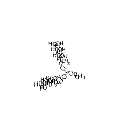 COc1ccc([S+](c2ccc(OC)cc2)c2ccc(OC)cc2)cc1.O=P(O)(O)F.O=P(O)(O)F.O=P(O)(O)F.O=P(O)(O)F.O=P(O)(O)F.O=P(O)(O)F